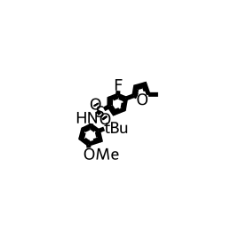 COc1ccc(NS(=O)(=O)c2ccc(-c3ccc(C)o3)c(F)c2)c(C(C)(C)C)c1